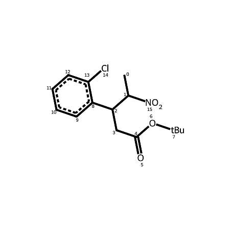 CC(C(CC(=O)OC(C)(C)C)c1ccccc1Cl)[N+](=O)[O-]